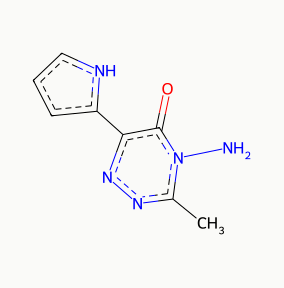 Cc1nnc(-c2ccc[nH]2)c(=O)n1N